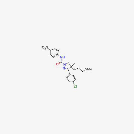 CSCCCC1(C)CN(C(=O)Nc2ccc([N+](=O)[O-])cc2)N=C1c1ccc(Cl)cc1